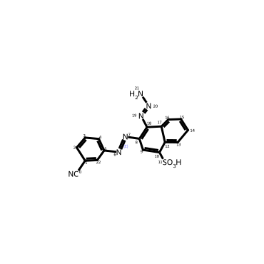 N#Cc1cccc(/N=N/c2cc(S(=O)(=O)O)c3ccccc3c2N=NN)c1